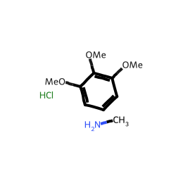 CN.COc1cccc(OC)c1OC.Cl